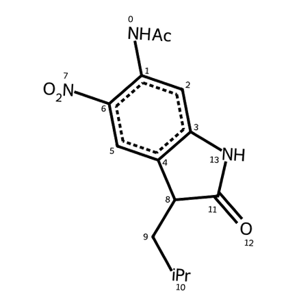 CC(=O)Nc1cc2c(cc1[N+](=O)[O-])C(CC(C)C)C(=O)N2